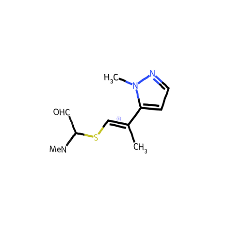 CNC(C=O)S/C=C(\C)c1ccnn1C